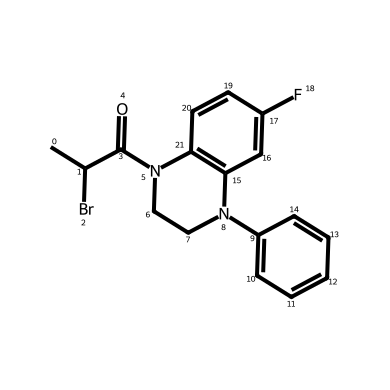 CC(Br)C(=O)N1CCN(c2ccccc2)c2cc(F)ccc21